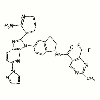 Cc1ncc(C(=O)N[C@H]2CCc3cc(-n4c(-c5cccnc5N)nc5ccc(-n6cccn6)nc54)ccc32)c(C(F)F)n1